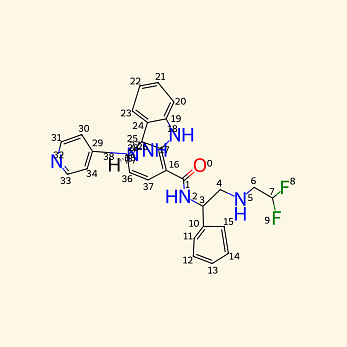 O=C(NC(CNCC(F)F)c1ccccc1)C1=C2Nc3ccccc3C23NCN(c2ccncc2)[C@H]3C=C1